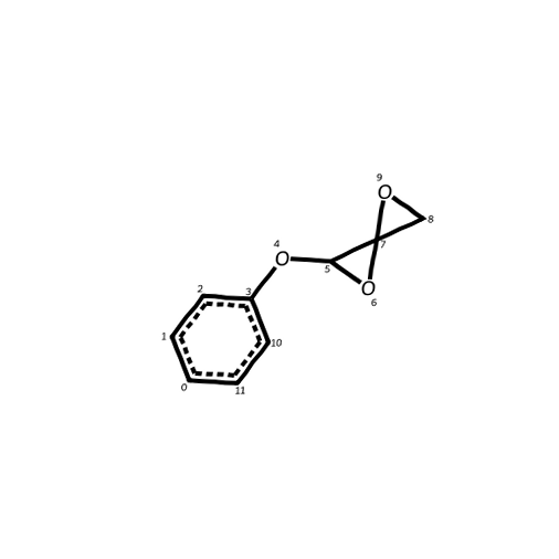 c1ccc(OC2OC23CO3)cc1